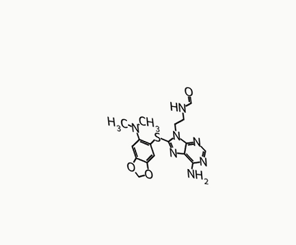 CN(C)c1cc2c(cc1Sc1nc3c(N)ncnc3n1CCNC=O)OCO2